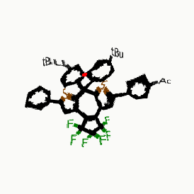 CC(=O)c1ccc(-c2cc3c(s2)C(c2ccc(C(C)(C)C)cc2)(c2ccc(C(C)(C)C)cc2)c2sc(-c4ccccc4)cc2C2=C3C(F)(F)C(F)(F)C2(F)F)cc1